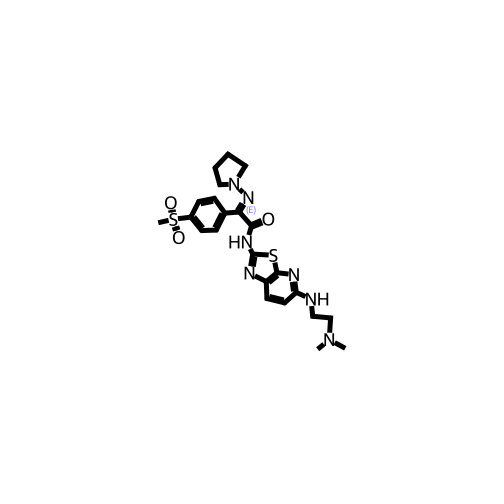 CN(C)CCNc1ccc2nc(NC(=O)/C(=N/N3CCCC3)c3ccc(S(C)(=O)=O)cc3)sc2n1